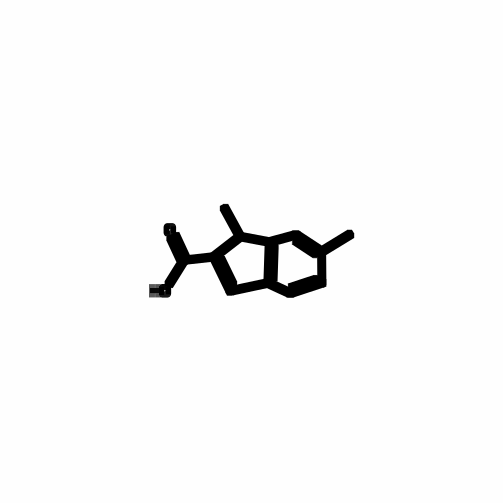 Cc1ccc2c(c1)C(C)C(C(=O)O)=C2